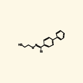 CC/C(=N\OCCO)c1ccc(-c2ccccc2)cc1